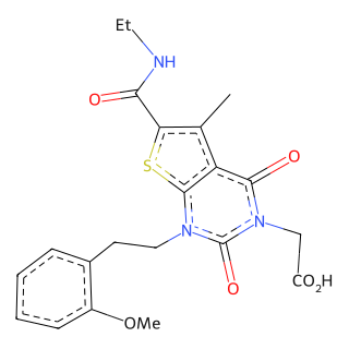 CCNC(=O)c1sc2c(c1C)c(=O)n(CC(=O)O)c(=O)n2CCc1ccccc1OC